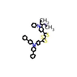 C=Cc1c(/C=C\C)c2cc(-c3csc4c3sc3c(-c5ccc(N(c6ccc(-c7ccccc7)cc6)c6ccc(-c7ccccc7)cc6)cc5)csc34)ccc2n1-c1ccccc1